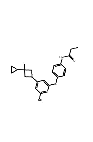 CCC(=O)Nc1ccc(Sc2cc(N3CC(F)(C4CC4)C3)cc(N)n2)cc1